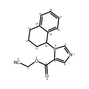 N#CCOC(=O)c1cncn1C1CCCc2ccccc21